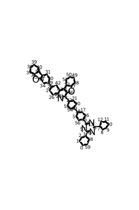 c1ccc(-c2nc(-c3ccccc3)nc(-c3ccc(-c4ccc(-c5nc6ccc(-c7ccc8c(c7)oc7ccccc78)cc6c6c5oc5ccccc56)cc4)cc3)n2)cc1